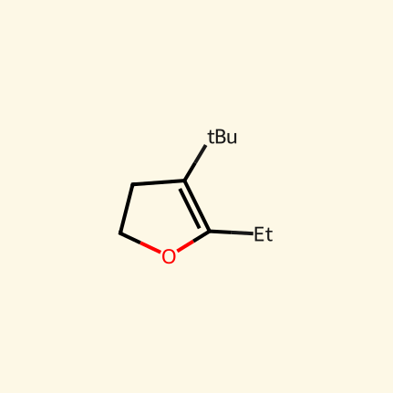 CCC1=C(C(C)(C)C)CCO1